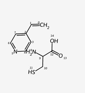 C=Cc1ccncc1.NC(CS)C(=O)O